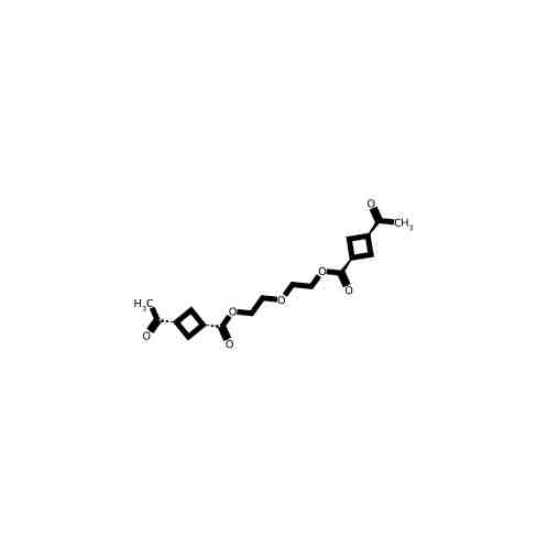 CC(=O)[C@H]1C[C@@H](C(=O)OCCOCCOC(=O)[C@H]2C[C@@H](C(C)=O)C2)C1